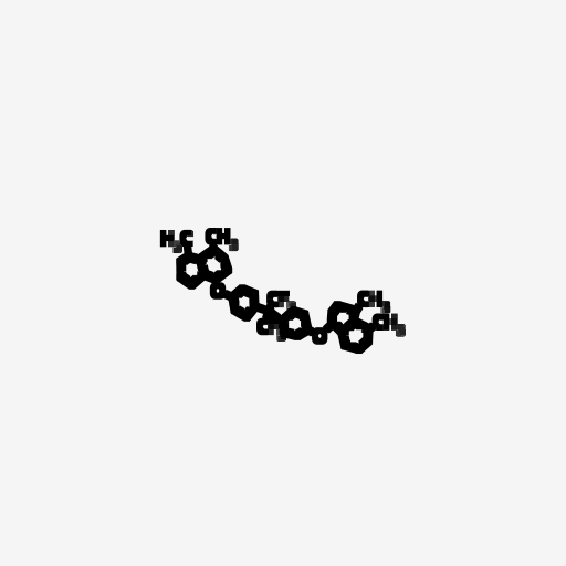 Cc1cccc2c(Oc3ccc(C(c4ccc(Oc5ccc(C)c6c(C)cccc56)cc4)(C(F)(F)F)C(F)(F)F)cc3)ccc(C)c12